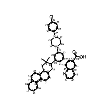 CC1(C)Cc2c(ccc3c2ccc2ccccc23)CC1c1cccc(N2CCN(c3ccc(Cl)cc3)CC2)c1.O=C(O)c1ccc2ncccc2c1